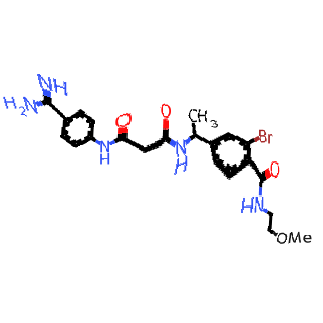 COCCNC(=O)c1ccc(C(C)NC(=O)CC(=O)Nc2ccc(C(=N)N)cc2)cc1Br